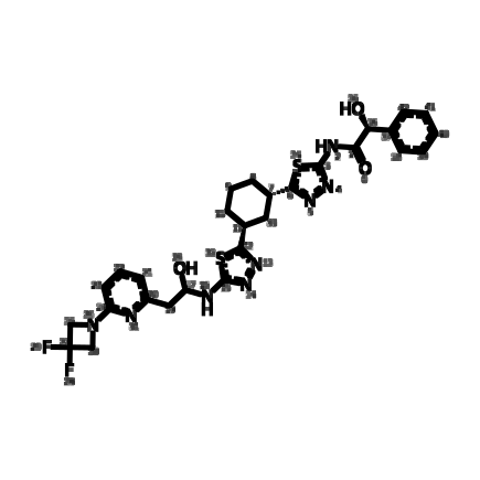 O=C(Nc1nnc([C@H]2CCC[C@H](c3nnc(NC(O)Cc4cccc(N5CC(F)(F)C5)n4)s3)C2)s1)[C@@H](O)c1ccccc1